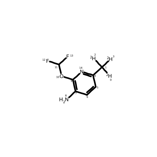 [2H]C([2H])([2H])c1ccc(N)c(OC(F)F)n1